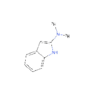 [2H]N([2H])c1cc2ccccc2[nH]1